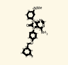 CNC1=CC(n2c(=O)n(-c3ccc(OCc4cccc(F)c4)cc3)c3c(N)ncnc32)=CCC1